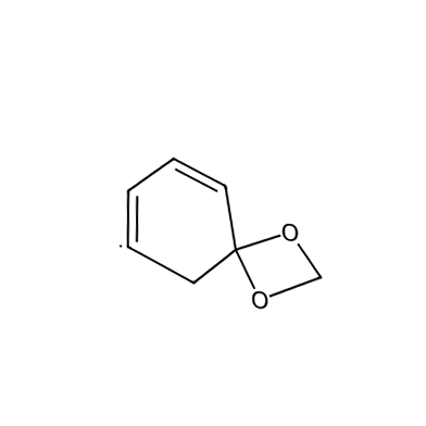 [C]1=CC=CC2(C1)OCO2